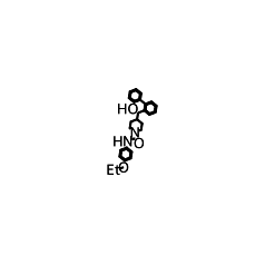 CCOc1ccc(NC(=O)N2CCC(C(O)c3ccccc3-c3ccccc3)CC2)cc1